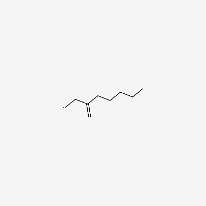 [CH2]CC(=C)CCCCC